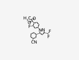 CS(=O)(=O)c1ccc(-n2nc(C(F)F)cc2-c2cccc(C#N)c2)cc1F